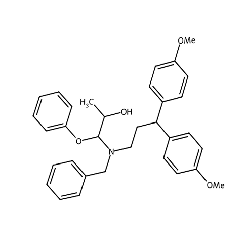 COc1ccc(C(CCN(Cc2ccccc2)C(Oc2ccccc2)C(C)O)c2ccc(OC)cc2)cc1